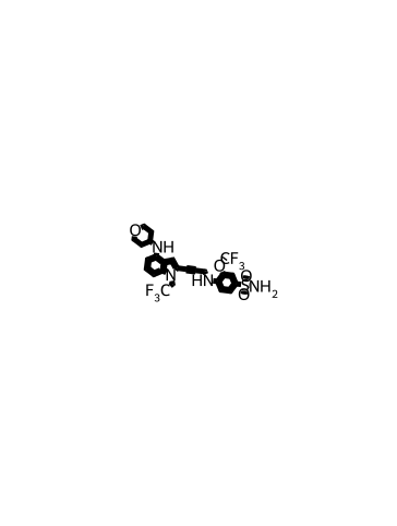 NS(=O)(=O)c1ccc(NCC#Cc2cc3c(NC4CCOCC4)cccc3n2CC(F)(F)F)c(OC(F)(F)F)c1